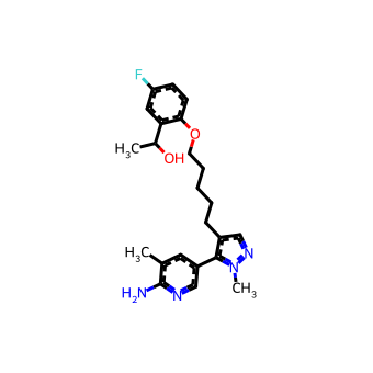 Cc1cc(-c2c(CCCCCOc3ccc(F)cc3C(C)O)cnn2C)cnc1N